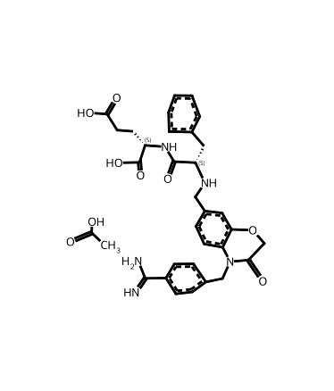 CC(=O)O.N=C(N)c1ccc(CN2C(=O)COc3cc(CN[C@@H](Cc4ccccc4)C(=O)N[C@@H](CCC(=O)O)C(=O)O)ccc32)cc1